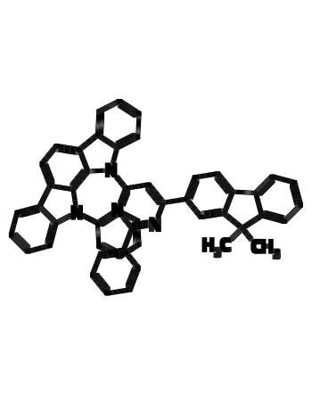 CC1(C)c2ccccc2-c2ccc(-c3cc(-n4c5ccccc5c5ccc6c7ccccc7n(-c7ccccc7)c6c54)nc(-c4ccccc4)n3)cc21